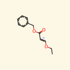 CCO/C=C/C(=O)OCc1ccccc1